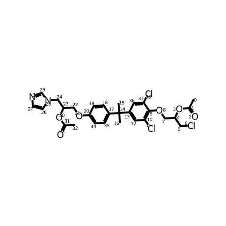 CC(=O)OC(CCl)COc1c(Cl)cc(C(C)(C)c2ccc(OCC(Cn3ccnc3)OC(C)=O)cc2)cc1Cl